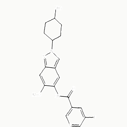 COc1cc2nn(C3CCC(C=O)CC3)cc2cc1NC(=O)c1cncc(F)c1